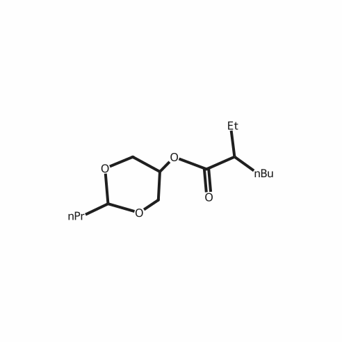 CCCCC(CC)C(=O)OC1COC(CCC)OC1